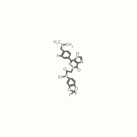 CCN(C(=O)Cn1nc(-c2ccc(CN(C)C)c(F)c2)c2[nH]cnc2c1=O)c1ccc2c(c1)OC(F)(F)O2